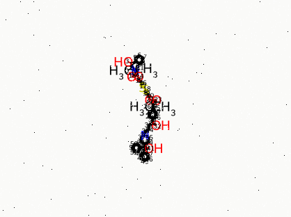 C[C@@H]([C@@H](O)c1ccccc1)N(C)C(=O)OCCSSCCOC(=O)C(C)(C)c1ccc(C(O)CCCN2CCC(C(O)(c3ccccc3)c3ccccc3)CC2)cc1